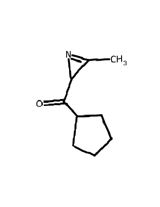 CC1=NC1C(=O)C1CCCC1